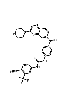 N#Cc1ccc(NC(=O)Nc2ccc(C(=O)c3ccc4ncc(N5CCNCC5)nc4c3)cc2)cc1C(F)(F)F